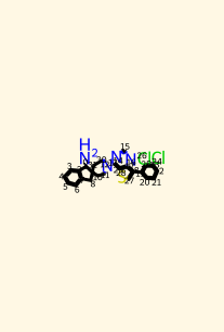 N[C@@H]1c2ccccc2CC12CCN(c1ncnc3c(-c4cccc(Cl)c4Cl)csc13)CC2